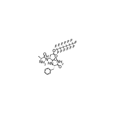 C[C@H](N)C(=O)N[C@@H](CC(=O)OC(F)(F)C(F)(F)C(F)(F)C(F)(F)C(F)(F)C(F)(F)F)C(=O)N[C@@H](Cc1ccccc1)C(N)=O